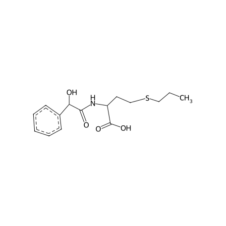 CCCSCCC(NC(=O)C(O)c1ccccc1)C(=O)O